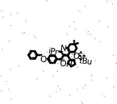 CC(C)c1nc2c(c(C3=CCCC3)c1[C@H](O)c1ccc(OCc3ccccc3)cc1)[C@@H](O[Si](C)(C)C(C)(C)C)CC(C)(C)C2